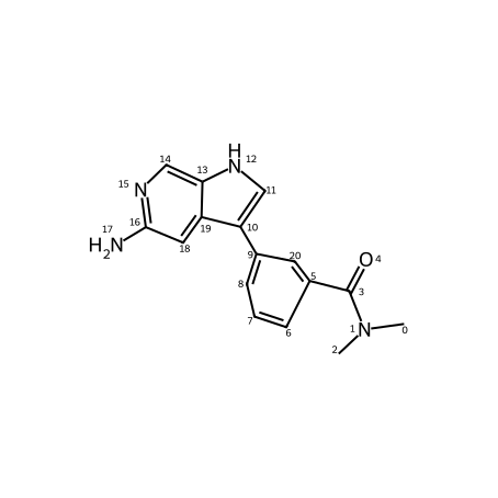 CN(C)C(=O)c1cccc(-c2c[nH]c3cnc(N)cc23)c1